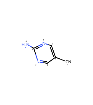 N#Cc1cnc(N)nc1